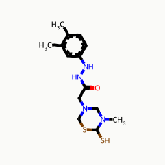 Cc1ccc(NNC(=O)CN2CSC(S)N(C)C2)cc1C